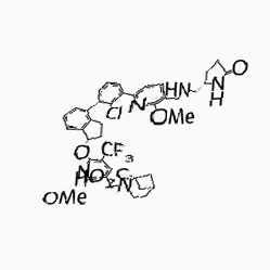 COc1nc(-c2cccc(-c3cccc4c3CC[C@@H]4Oc3nc(OC)c(CN4CCC5CC4(C(=O)O)C5)cc3C(F)(F)F)c2Cl)ccc1CNC[C@@H]1CCC(=O)N1